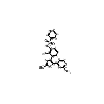 CC(C)(C)c1nc(-c2cccc(NS(=O)(=O)c3cccnc3)c2F)c(-c2ccnc(N)n2)s1